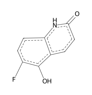 O=c1ccc2c(O)c(F)ccc2[nH]1